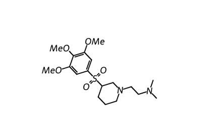 COc1cc(S(=O)(=O)C2CCCN(CCN(C)C)C2)cc(OC)c1OC